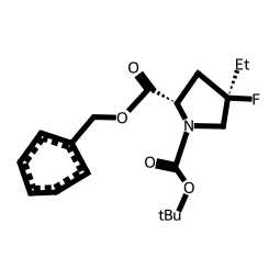 CC[C@@]1(F)C[C@@H](C(=O)OCc2ccccc2)N(C(=O)OC(C)(C)C)C1